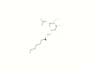 CCCCCCC(=O)OC[C@H]1OC(OC(C)C)[C@H](O)[C@@H](O)[C@@H]1O